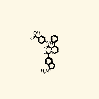 N[C@@H]1CCc2cc(C(=O)N3CCCC(c4ccccc4)C3C(=O)Nc3ccc(C(=O)O)cc3)ccc21